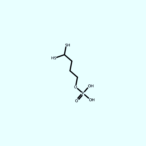 O=P(O)(O)OCCCC(S)S